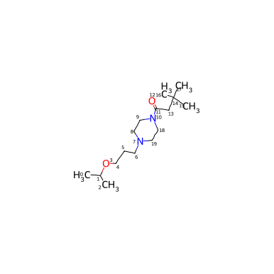 CC(C)OCCCN1CCN(C(=O)CC(C)(C)C)CC1